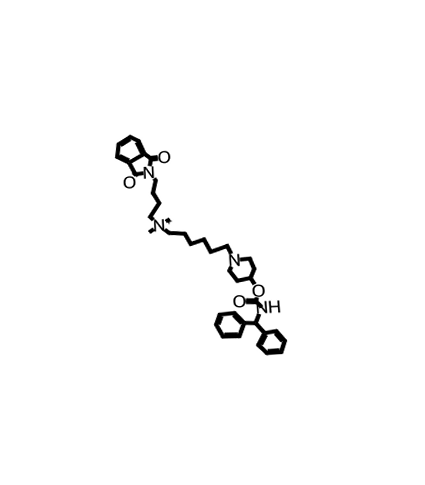 C[N+](C)(CCCCCCN1CCC(OC(=O)NC(c2ccccc2)c2ccccc2)CC1)CCCCN1C(=O)c2ccccc2C1=O